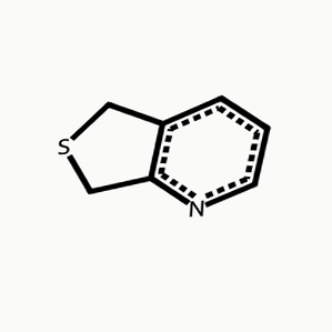 c1cnc2c(c1)CSC2